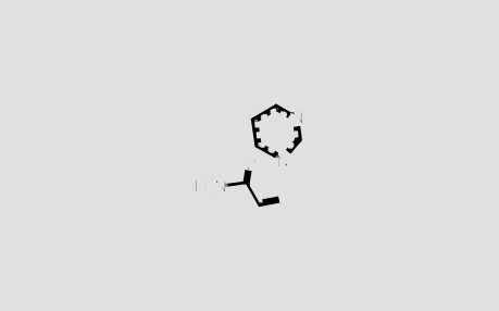 C=CC(N)=O.c1cncnc1